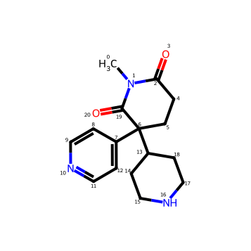 CN1C(=O)CCC(c2ccncc2)(C2CCNCC2)C1=O